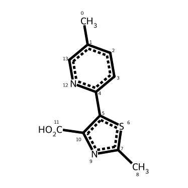 Cc1ccc(-c2sc(C)nc2C(=O)O)nc1